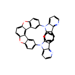 c1ccc2c(c1)c1ncccc1n2-c1ccc2oc3ccc4oc5ccc(-n6c7ccccc7c7ncccc76)cc5c4c3c2c1